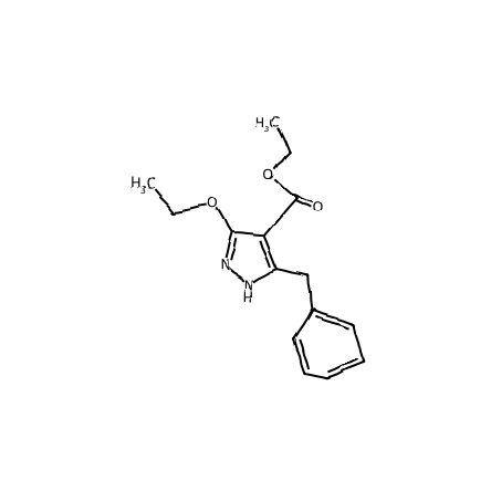 CCOC(=O)c1c(OCC)n[nH]c1Cc1ccccc1